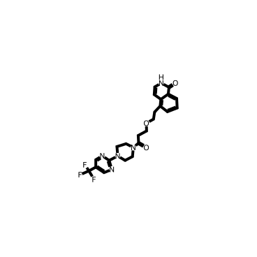 O=C(CCOCCc1cccc2c(=O)[nH]ccc12)N1CCN(c2ncc(C(F)(F)F)cn2)CC1